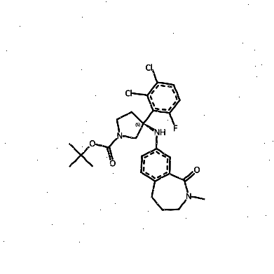 CN1CCCc2ccc(N[C@]3(c4c(F)ccc(Cl)c4Cl)CCN(C(=O)OC(C)(C)C)C3)cc2C1=O